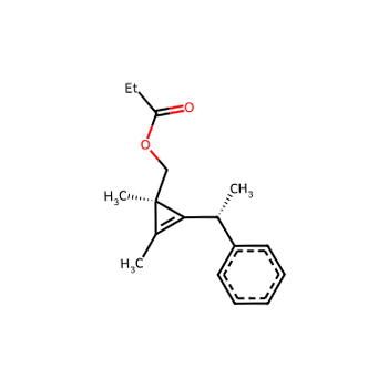 CCC(=O)OC[C@]1(C)C(C)=C1[C@H](C)c1ccccc1